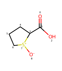 O=C(O)C1CCC[S+]1[O-]